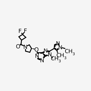 CCn1ncc(-c2nc3c(O[C@H]4CCN(C(=O)C5CC(F)(F)C5)C4)ncnc3n2C)c1C